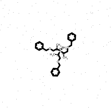 B[PH]([C@H](C)COCc1ccccc1)([C@H](C)COCc1ccccc1)[C@H](C)COCc1ccccc1